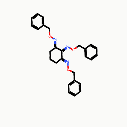 c1ccc(CON=C2CCCC(=NOCc3ccccc3)C2=NOCc2ccccc2)cc1